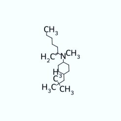 C=C(CCCCC)N(C)C1CCC(CC(C)(C)C)CC1